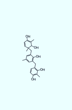 CC1=C(O)C=CC(C)(Cc2cc(C)cc(Cc3ccc(O)c(C)c3O)c2O)C1O